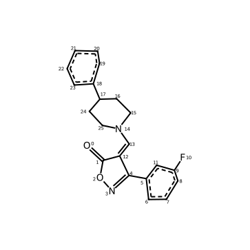 O=C1ON=C(c2cccc(F)c2)/C1=C/N1CCC(c2ccccc2)CC1